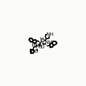 O=C(N[C@H](Cc1ccc2ccccc2c1)C(=O)N[C@H](Cc1ccc2ccccc2c1)C(=O)N[C@H](CO)Cc1ccccc1)C1CCNCC1